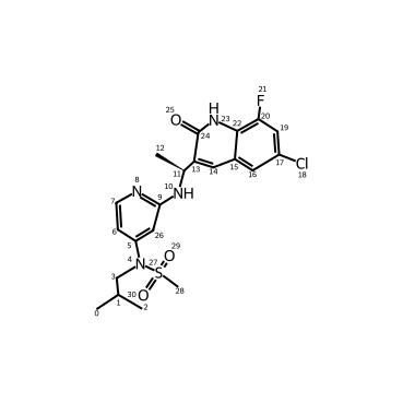 CC(C)CN(c1ccnc(N[C@@H](C)c2cc3cc(Cl)cc(F)c3[nH]c2=O)c1)S(C)(=O)=O